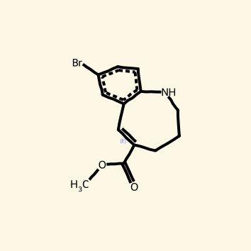 COC(=O)/C1=C/c2cc(Br)ccc2NCCC1